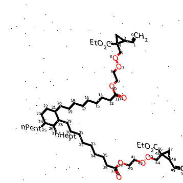 C=CC1CC1(COOCCOC(=O)CCCCCCCCC1CCC(CCCCC)C(CCCCCCC)C1CCCCCCCCC(=O)OCCOOCC1(C(=O)OCC)CC1C=C)C(=O)OCC